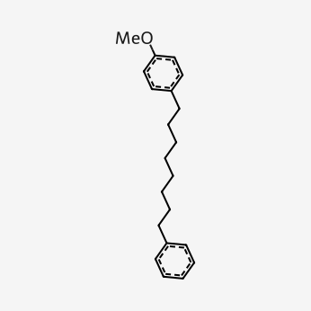 COc1ccc(CCCCCCCCc2ccccc2)cc1